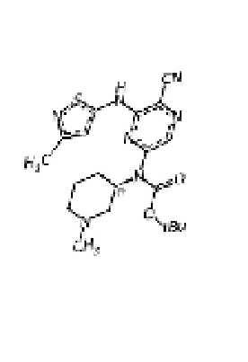 Cc1cc(Nc2nc(N(C(=O)OC(C)(C)C)[C@@H]3CCCN(C)C3)cnc2C#N)sn1